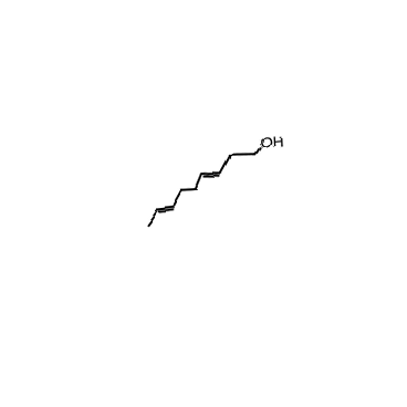 CC=CCCC=CCCO